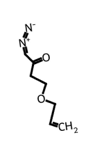 C=CCOCCC(=O)C=[N+]=[N-]